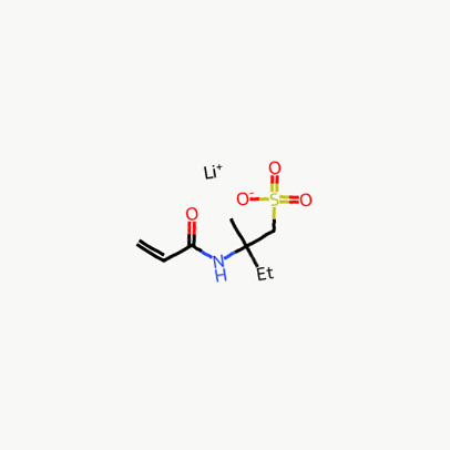 C=CC(=O)NC(C)(CC)CS(=O)(=O)[O-].[Li+]